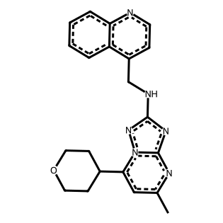 Cc1cc(C2CCOCC2)n2nc(NCc3ccnc4ccccc34)nc2n1